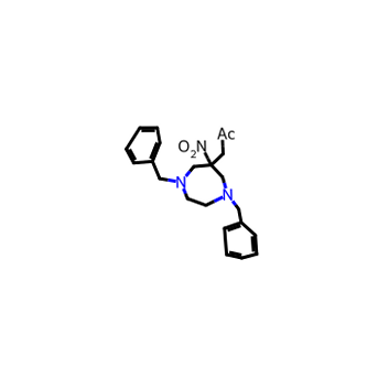 CC(=O)CC1([N+](=O)[O-])CN(Cc2ccccc2)CCN(Cc2ccccc2)C1